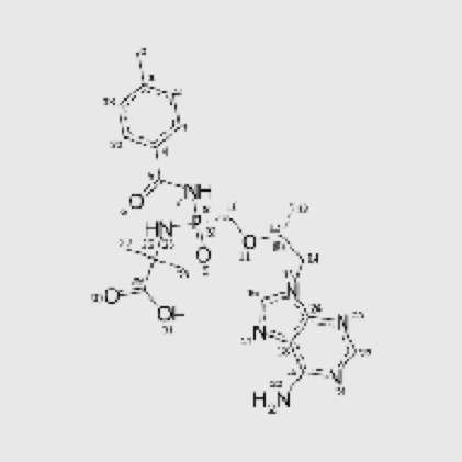 Cc1ccc(C(=O)N[P@](=O)(CO[C@H](C)Cn2cnc3c(N)ncnc32)NC(C)(C)C(=O)O)cc1